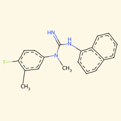 Cc1cc(N(C)C(=N)Nc2cccc3ccccc23)ccc1F